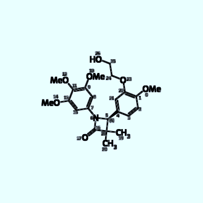 COc1ccc([C@@H]2N(c3cc(OC)c(OC)c(OC)c3)C(=O)C2(C)C)cc1OCCO